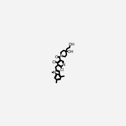 Cc1cc(C)c2cc(Cc3c(Cl)ncc(C(=O)N4CCC(O)(CCO)CC4)c3Cl)n(C)c2c1